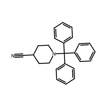 N#CC1CCN(C(c2ccccc2)(c2ccccc2)c2ccccc2)CC1